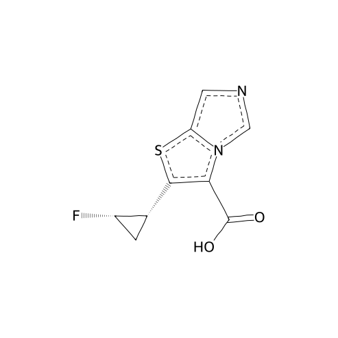 O=C(O)c1c([C@@H]2C[C@@H]2F)sc2cncn12